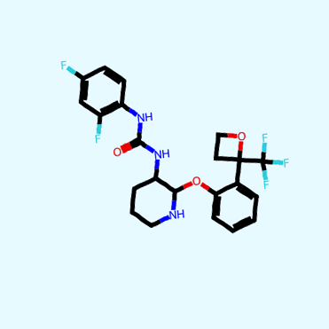 O=C(Nc1ccc(F)cc1F)NC1CCCNC1Oc1ccccc1C1(C(F)(F)F)CCO1